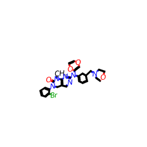 CN1C(=O)N(c2ccccc2Br)Cc2cnc(N(C3=CC=CC(CN4CCOCC4)C3)C3=COC=CO3)nc21